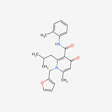 Cc1ccccc1NC(=O)c1c(CC(C)C)n(Cc2ccco2)c(C)cc1=O